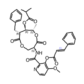 COc1ccnc(C(=O)N[C@H]2COC(=O)[C@H](Cc3ccccc3)[C@@H](OC(=O)C(C)C)[C@H](C)OC2=O)c1OC(=O)/C=C/c1ccccc1